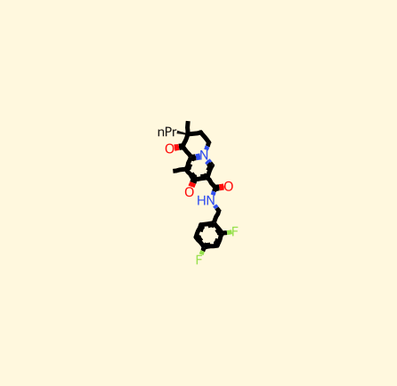 CCC[C@@]1(C)CCn2cc(C(=O)NCc3ccc(F)cc3F)c(=O)c(C)c2C1=O